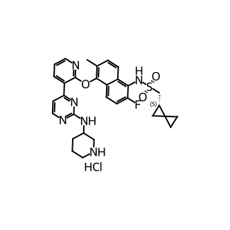 Cc1ccc2c(NS(=O)(=O)C[C@H]3CC34CC4)c(F)ccc2c1Oc1ncccc1-c1ccnc(NC2CCCNC2)n1.Cl